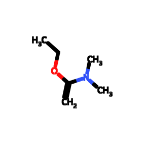 C=C(OCC)N(C)C